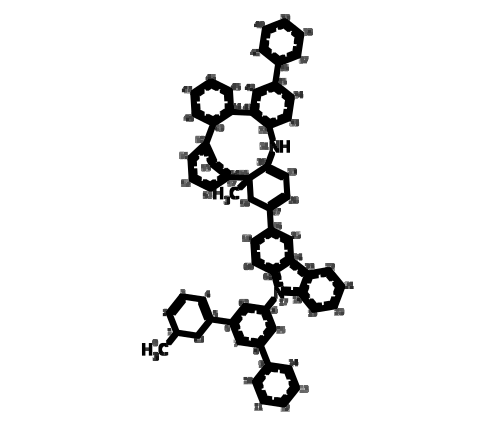 CC1C=CC=C(c2cc(-c3ccccc3)cc(-n3c4ccccc4c4cc(C5=CC=C6Nc7ccc(-c8ccccc8)cc7-c7ccccc7-c7cccc(c7)C6(C)C5)ccc43)c2)C1